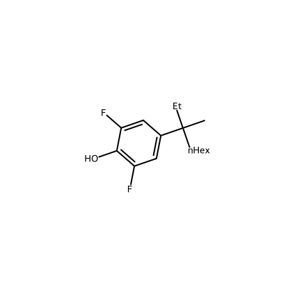 CCCCCCC(C)(CC)c1cc(F)c(O)c(F)c1